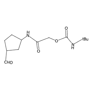 CC(C)(C)NC(=O)OCC(=O)NC1CCC(C=O)C1